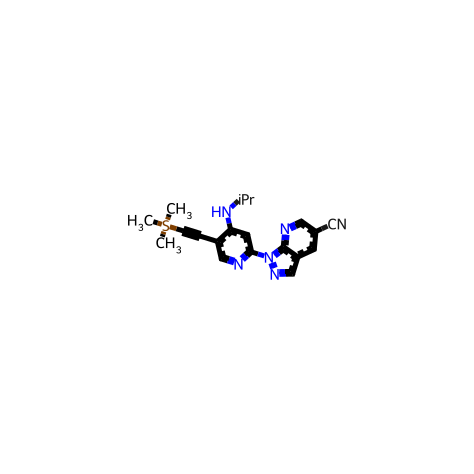 CC(C)Nc1cc(-n2ncc3cc(C#N)cnc32)ncc1C#CS(C)(C)C